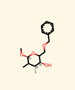 CO[C@H]1OC(COCc2ccccc2)[C@@H](O)[C@H](C)C1C